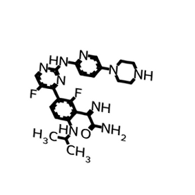 CC(C)Nc1ccc(-c2nc(Nc3ccc(N4CCNCC4)cn3)ncc2F)c(F)c1C(=N)C(N)=O